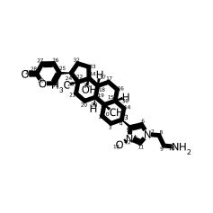 C[C@]12CC[C@H](c3cn(CCN)c[n+]3[O-])C[C@H]1CC[C@@H]1[C@@H]2CC[C@]2(C)[C@@H](c3ccc(=O)oc3)CC[C@]12O